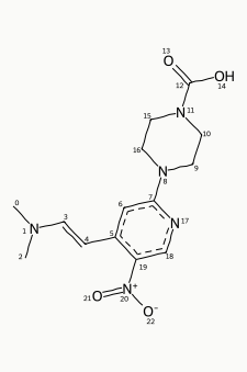 CN(C)C=Cc1cc(N2CCN(C(=O)O)CC2)ncc1[N+](=O)[O-]